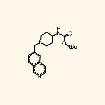 CC(C)(C)OC(=O)NC1CCN(Cc2ccc3cnccc3c2)CC1